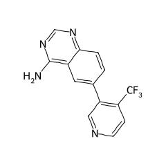 Nc1ncnc2ccc(-c3cnccc3C(F)(F)F)cc12